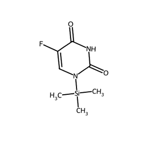 C[Si](C)(C)n1cc(F)c(=O)[nH]c1=O